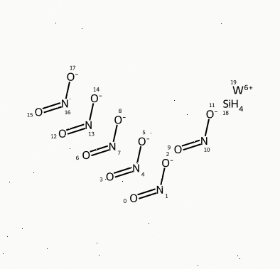 O=N[O-].O=N[O-].O=N[O-].O=N[O-].O=N[O-].O=N[O-].[SiH4].[W+6]